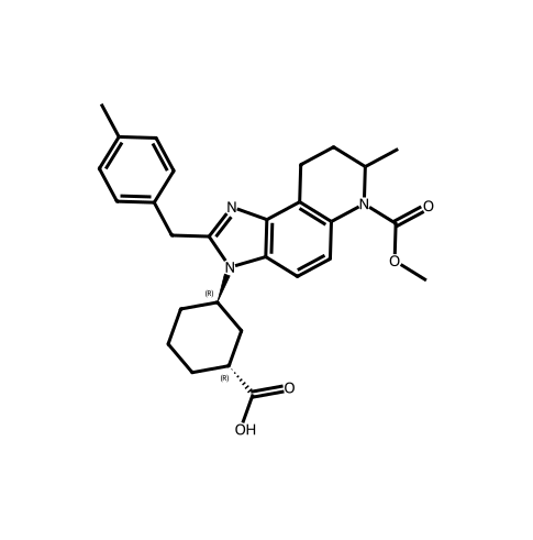 COC(=O)N1c2ccc3c(nc(Cc4ccc(C)cc4)n3[C@@H]3CCC[C@@H](C(=O)O)C3)c2CCC1C